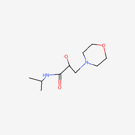 CC(C)NC(=O)C([O])CN1CCOCC1